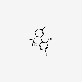 C=C(C)[C@@H]1CCC(C)=C[C@H]1c1c(O)cc(Br)cc1O